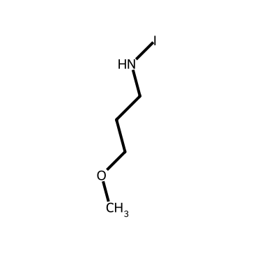 COCCCNI